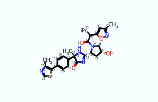 Cc1cc(C(C(=O)N2C[C@H](O)C[C@@H]2C2=NC(=O)[C@](C)(c3ccc(-c4scnc4C)cc3)N2)C(C)C)on1